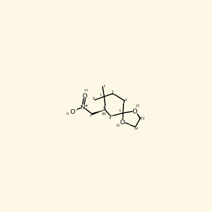 CC1(C)CCC2(C[C@H]1C[N+](=O)[O-])OCCO2